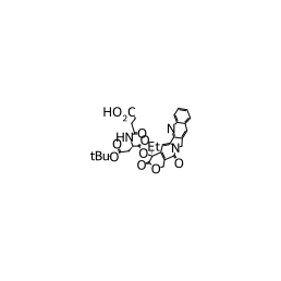 CC[C@@]1(OC(=O)[C@@H](CC(=O)OC(C)(C)C)NC(=O)CCC(=O)O)C(=O)OCc2c1cc1n(c2=O)Cc2cc3ccccc3nc2-1